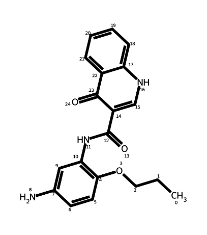 CCCOc1ccc(N)cc1NC(=O)c1c[nH]c2ccccc2c1=O